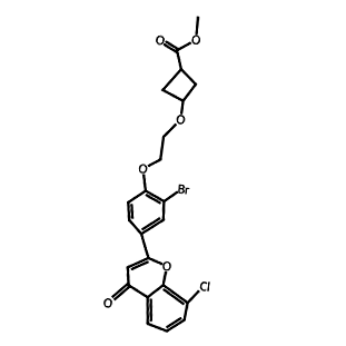 COC(=O)C1CC(OCCOc2ccc(-c3cc(=O)c4cccc(Cl)c4o3)cc2Br)C1